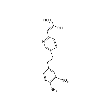 Nc1ncc(CCc2ccc(/C=C(\O)C(=O)O)nc2)cc1[N+](=O)[O-]